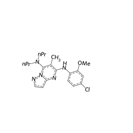 CCCN(CCC)c1c(C)c(Nc2ccc(Cl)cc2OC)nc2ccnn12